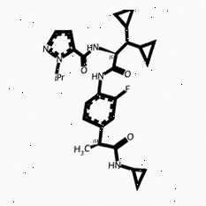 CC(C)n1nccc1C(=O)N[C@H](C(=O)Nc1ccc([C@H](C)C(=O)NC2CC2)cc1F)C(C1CC1)C1CC1